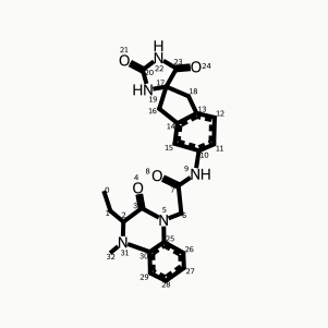 CCC1C(=O)N(CC(=O)Nc2ccc3c(c2)CC2(C3)NC(=O)NC2=O)c2ccccc2N1C